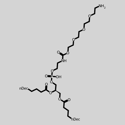 CCCCCCCCCCCCCC(=O)OC[C@H](COP(=O)(O)OCCNC(=O)OCCOCCOCCOCCN)OC(=O)CCCCCCCCCCCCC